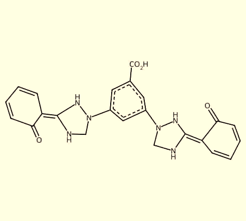 O=C1C=CC=CC1=C1NCN(c2cc(C(=O)O)cc(N3CNC(=C4C=CC=CC4=O)N3)c2)N1